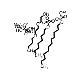 CCCCCCCCCCCCOS(=O)(=O)O.CCCCCCCCOS(=O)(=O)O.CCCCOCCOCCO.[Na+].[Na+].[Na+].[O-][Si]([O-])(O)O.[OH-]